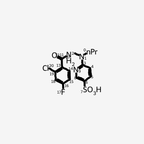 CCCN(C)c1ccc(S(=O)(=O)O)cn1.NC(=O)c1ccc(F)cc1Cl